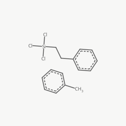 Cc1ccccc1.Cl[Si](Cl)(Cl)CCc1ccccc1